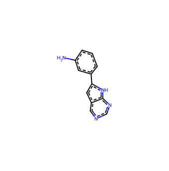 Nc1cccc(-c2cc3cncnc3[nH]2)c1